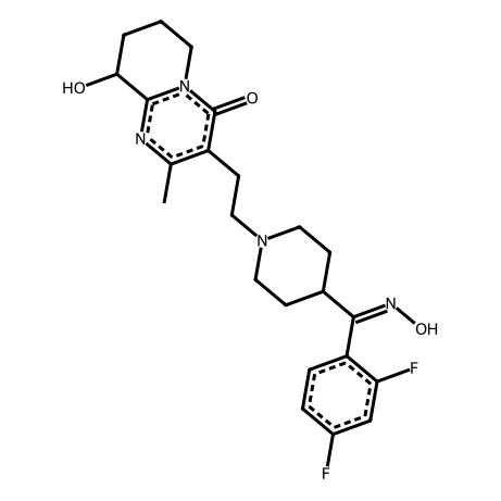 Cc1nc2n(c(=O)c1CCN1CCC(C(=NO)c3ccc(F)cc3F)CC1)CCCC2O